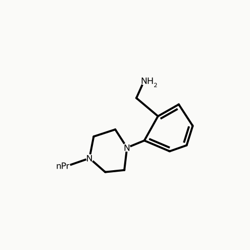 C[CH]CN1CCN(c2ccccc2CN)CC1